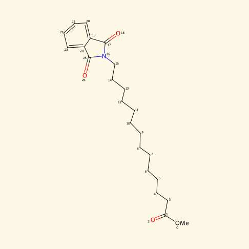 COC(=O)CCCCCCCCCCCCCN1C(=O)c2ccccc2C1=O